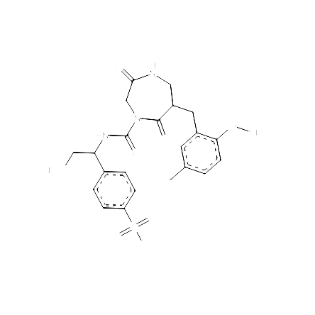 CCC(NC(=O)N1CC(=O)NCC(Cc2cc(Cl)ccc2OC)C1=O)c1ccc(S(C)(=O)=O)cc1